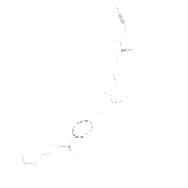 CC#CCNC(=O)COCCNC(CC)SSc1ccc(C(=O)NCCNC(C)C)cc1